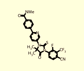 CNC(=O)c1ccc(-c2ccc(N3C(=S)N(c4ccc(C#N)c(C(F)(F)F)c4F)C(=O)C3(C)C)cn2)cc1